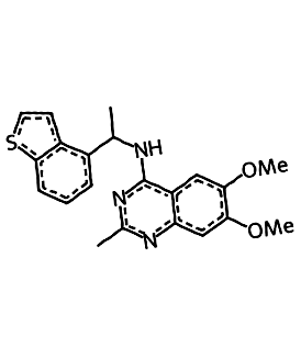 COc1cc2nc(C)nc(NC(C)c3cccc4sccc34)c2cc1OC